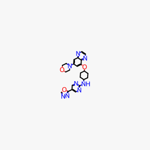 c1cnc2c(OC3CCC(Nc4ncc(-c5nnco5)cn4)CC3)cc(N3CCOCC3)cc2n1